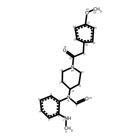 CNc1ccccc1N(C=O)C1CCN(C(=O)Cc2ccc(OC)cc2)CC1